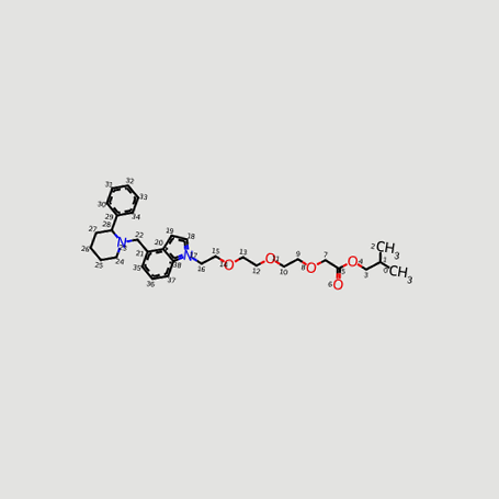 CC(C)COC(=O)COCCOCCOCCn1ccc2c(CN3CCCCC3c3ccccc3)cccc21